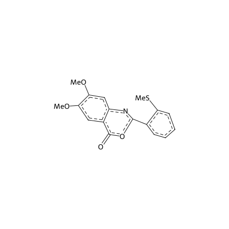 COc1cc2nc(-c3ccccc3SC)oc(=O)c2cc1OC